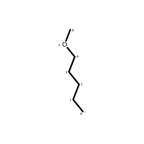 [CH2]CCCCOC